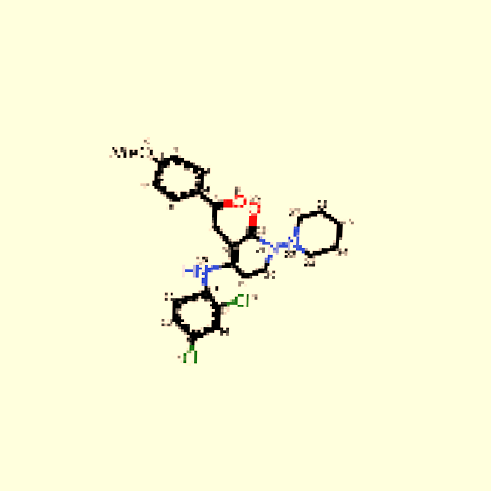 COc1ccc(C(=O)CC2=C(Nc3ccc(Cl)cc3Cl)CCN(N3CCCCC3)C2=O)cc1